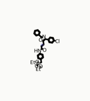 CCOP(=O)(Cc1ccc(NC(=O)/C=C/c2oc(-c3ccccc3)nc2-c2ccc(Cl)cc2)cc1)OCC